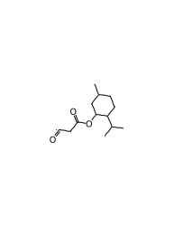 CC1CCC(C(C)C)C(OC(=O)C[C]=O)C1